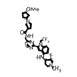 CO[C@H]1CC[C@H](n2ccc(C(=O)NCc3nc(-c4cc5c(N[C@@H]6CCN(C)C[C@@H]6F)cccc5n4CC(F)(F)F)no3)c2)C1